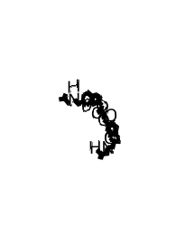 CC(C)CNCC1CCc2ccc(OC(=O)C(=O)Oc3ccc4c(c3)OC(CNCC(C)C)CC4)cc2O1